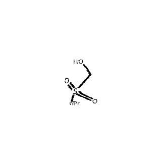 CCCS(=O)(=O)CO